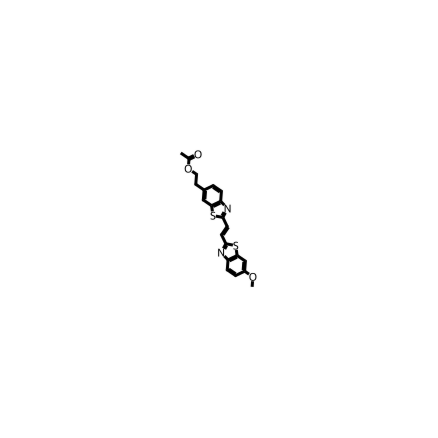 COc1ccc2nc(C=Cc3nc4ccc(CCOC(C)=O)cc4s3)sc2c1